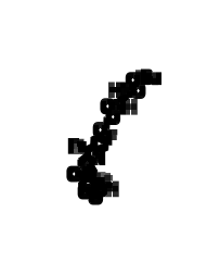 CCc1c2c(nc3cc(F)c(OCCOC(=O)NCCNC(=O)OC(C)(C)C)cc13)-c1cc3c(c(=O)n1C2)COC(=O)[C@]3(O)CC